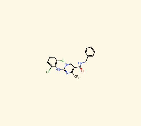 O=C(NCc1ccccc1)c1cnc(Nc2c(Cl)cccc2Cl)nc1C(F)(F)F